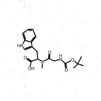 CN(C(=O)CNC(=O)OC(C)(C)C)C(Cc1[c][nH]c2ccccc12)C(=O)O